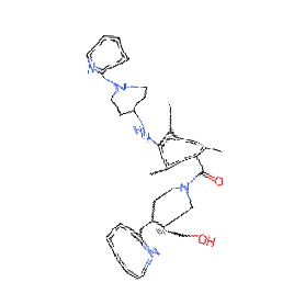 Cc1cc(C)c(C(=O)N2CCC(c3ccccn3)[C@H](CO)C2)c(C)c1NC1CCN(c2ccccn2)CC1